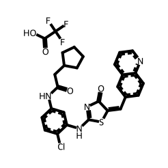 O=C(CC1CCCC1)Nc1ccc(Cl)c(NC2=NC(=O)C(=Cc3ccc4ncccc4c3)S2)c1.O=C(O)C(F)(F)F